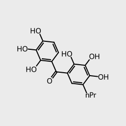 CCCc1cc(C(=O)c2ccc(O)c(O)c2O)c(O)c(O)c1O